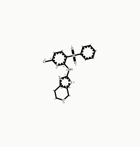 O=S(=O)(c1ccccc1)c1ccc(Cl)nc1Nc1nc2c(s1)COCC2